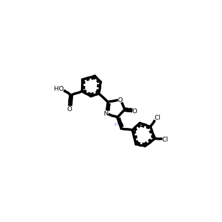 O=C1OC(c2cccc(C(=O)O)c2)=N/C1=C/c1ccc(Cl)c(Cl)c1